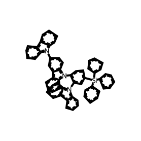 c1ccc([Si](c2ccccc2)(c2ccccc2)c2ccc(-n3c4ccccc4c4cc(-n5c6ccccc6c6ccccc65)ccc43)c(-n3c4ccccc4c4ccccc43)c2)cc1